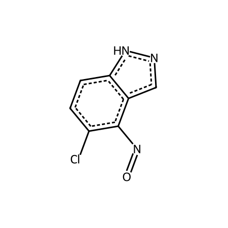 O=Nc1c(Cl)ccc2[nH]ncc12